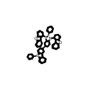 c1ccc(-n2c3ccccc3c3cc(-c4ccc5c(c4)N(c4cccc6oc7ccccc7c46)P(c4ccccc4)N5c4cccc5oc6ccccc6c45)ccc32)cc1